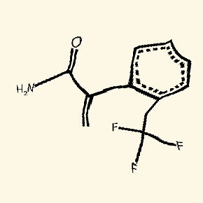 C=C(C(N)=O)c1ccccc1C(F)(F)F